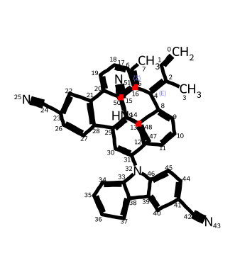 C=C/C(C)=C(\C=C/C)c1ccccc1Nc1ccccc1-c1cc(C#N)ccc1-c1cc(-n2c3ccccc3c3cc(C#N)ccc32)ccc1C#N